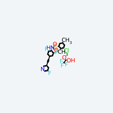 Cc1cc(Cl)c(C)c(S(=O)(=O)Nc2c(F)cc(C#Cc3cncc(F)c3)cc2F)c1.O=C(O)C(F)(F)F